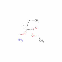 C=CC1CC1(OCN)C(=O)OCC